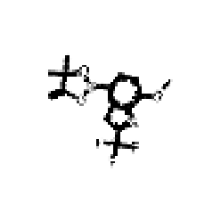 C=C1OB(c2ccc(OC)c3sc(C(F)(F)F)cc23)OC1(C)C